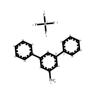 F[B-](F)(F)F.[PH3+]c1cc(-c2ccccc2)cc(-c2ccccc2)c1